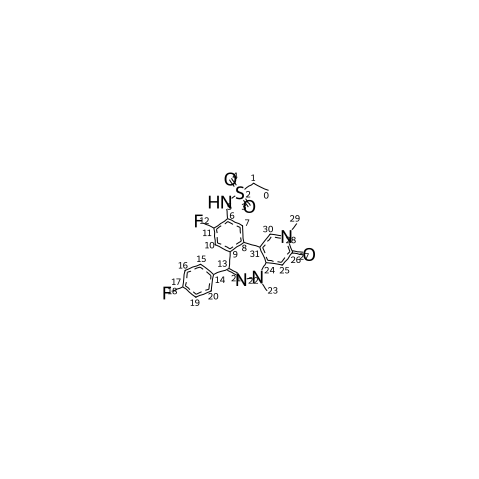 CCS(=O)(=O)Nc1cc2c(cc1F)C(c1ccc(F)cc1)=NN(C)c1cc(=O)n(C)cc1-2